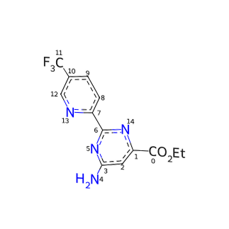 CCOC(=O)c1cc(N)nc(-c2ccc(C(F)(F)F)cn2)n1